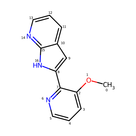 COc1cccnc1-c1cc2cccnc2[nH]1